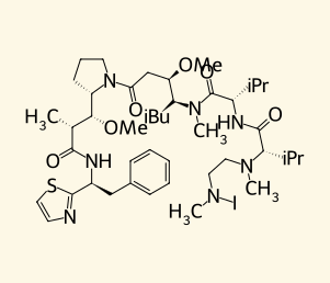 CC[C@H](C)[C@@H]([C@@H](CC(=O)N1CCC[C@H]1[C@H](OC)[C@@H](C)C(=O)N[C@@H](Cc1ccccc1)c1nccs1)OC)N(C)C(=O)[C@@H](NC(=O)[C@H](C(C)C)N(C)CCN(C)I)C(C)C